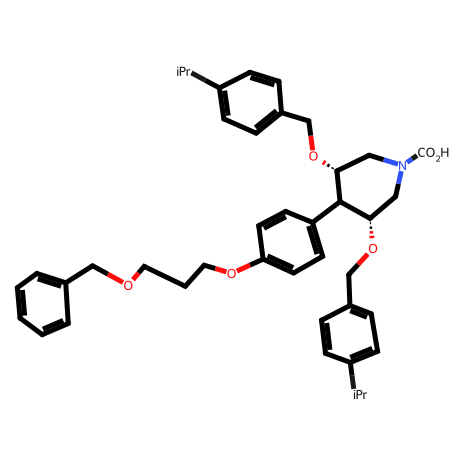 CC(C)c1ccc(CO[C@H]2CN(C(=O)O)C[C@@H](OCc3ccc(C(C)C)cc3)C2c2ccc(OCCCOCc3ccccc3)cc2)cc1